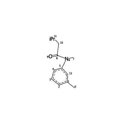 Cc1cccc(N(C)C(=O)CC(C)C)c1